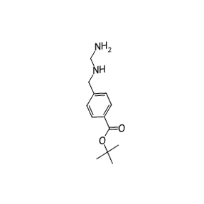 CC(C)(C)OC(=O)c1ccc(CNCN)cc1